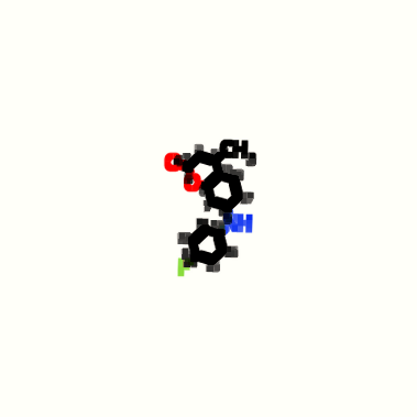 Cc1cc(=O)oc2cc(Nc3ccc(F)cc3)ccc12